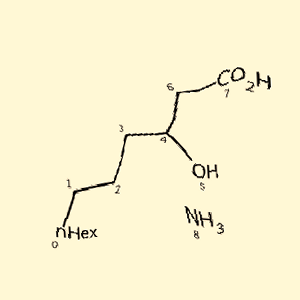 CCCCCCCCCC(O)CC(=O)O.N